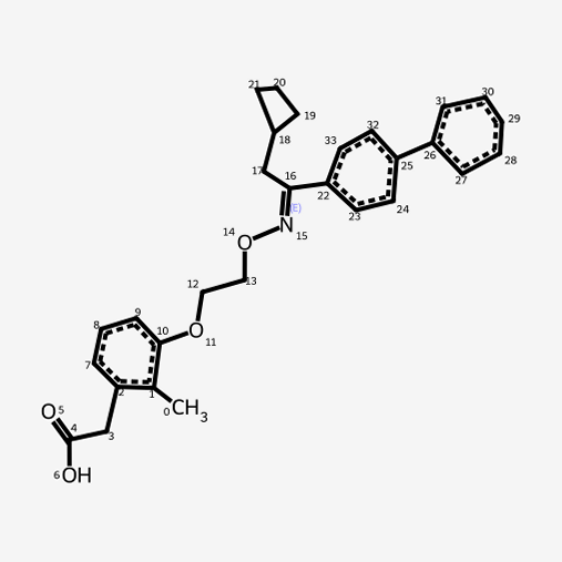 Cc1c(CC(=O)O)cccc1OCCO/N=C(\CC1CCC1)c1ccc(-c2ccccc2)cc1